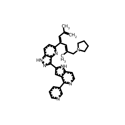 C=C(C)/C=C(\C=C(/C)CN1CCCC1)c1ccc2[nH]nc(-c3cc4c(-c5cccnc5)nccc4[nH]3)c2n1